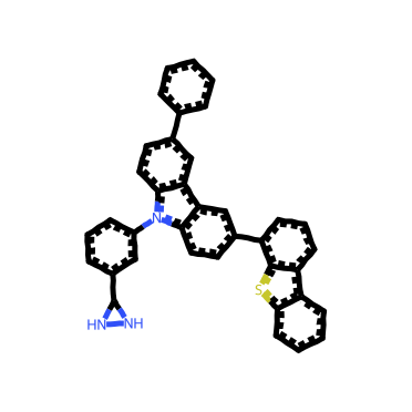 c1ccc(-c2ccc3c(c2)c2cc(-c4cccc5c4sc4ccccc45)ccc2n3-c2cccc(C3NN3)c2)cc1